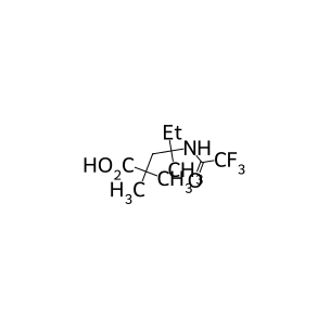 CCC(C)(CC(C)(C)C(=O)O)NC(=O)C(F)(F)F